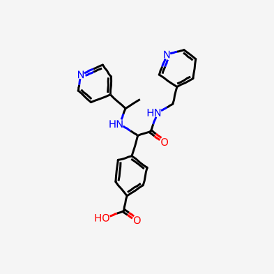 CC(NC(C(=O)NCc1cccnc1)c1ccc(C(=O)O)cc1)c1ccncc1